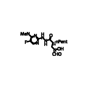 CCCCC[C@H](CN(O)C=O)C(=O)NNc1ncc(F)c(NC)n1